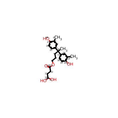 Cc1cc(C(C)(CCCOC(=O)CCC(O)O)c2ccc(O)c(C)c2)ccc1O